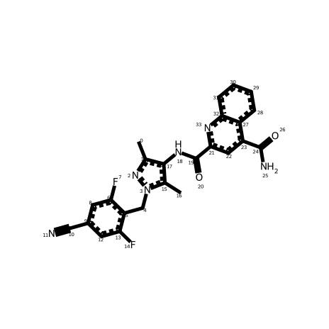 Cc1nn(Cc2c(F)cc(C#N)cc2F)c(C)c1NC(=O)c1cc(C(N)=O)c2ccccc2n1